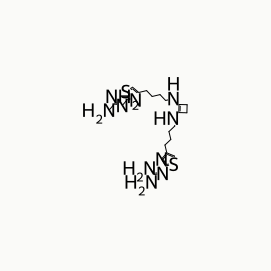 NC(N)=Nc1nc(CCCCNC2=C(NCCCCc3csc(N=C(N)N)n3)CC2)cs1